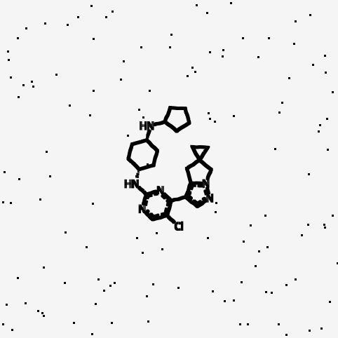 Clc1cnc(N[C@H]2CC[C@H](NC3CCCC3)CC2)nc1-c1cnn2c1CC1(CC1)C2